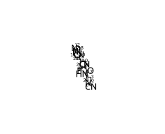 N#CN1CCC(NC(=O)c2ncc(-c3ccn4nccc4n3)cc2F)C1